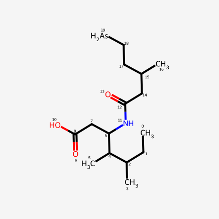 CCC(C)C(C)C(CC(=O)O)NC(=O)CC(C)CC[AsH2]